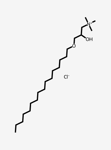 CCCCCCCCCCCCCCCCOCC(O)C[N+](C)(C)C.[Cl-]